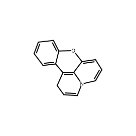 C1=CN2C=CCC3=C2C(=C1)Oc1ccccc13